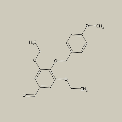 CCOc1cc(C=O)cc(OCC)c1OCc1ccc(OC)cc1